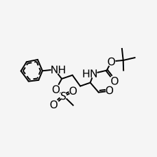 CC(C)(C)OC(=O)NC(C=O)CCC(Nc1ccccc1)OS(C)(=O)=O